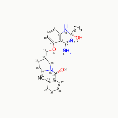 CC1(O)N=C(N)c2c(cccc2OC[C@H]2CCCN(C(=O)C3=C(C#N)CCC=C3)C2)N1